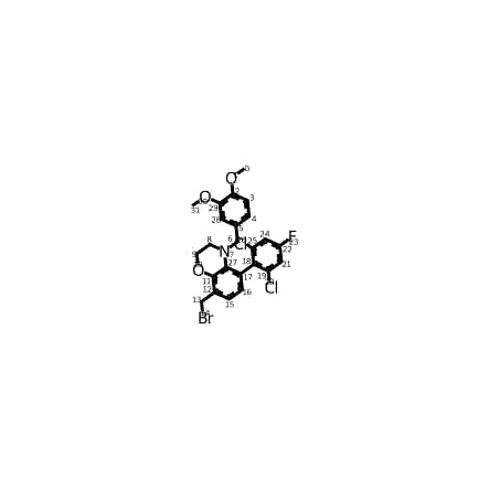 COc1ccc(CN2CCOc3c(CBr)ccc(-c4c(Cl)cc(F)cc4Cl)c32)cc1OC